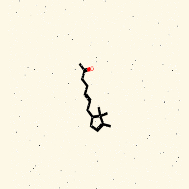 CC(=O)CCC=CCC1CC=C(C)C1(C)C